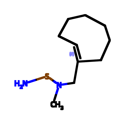 CN(C/C1=C\CCCCCC1)SN